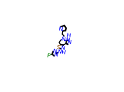 Fc1cnc(Nc2nc3c(s2)CCN(CCc2ccccn2)c2[nH]ncc2-3)nc1